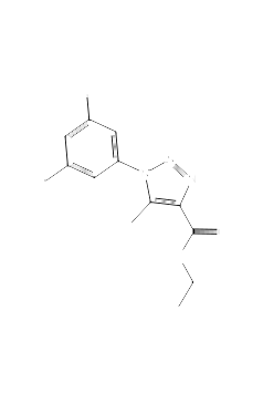 CCOC(=O)c1nnn(-c2cc(Cl)cc(Cl)c2)c1C